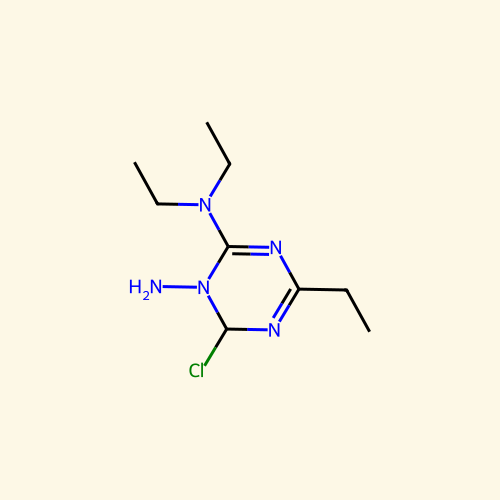 CCC1=NC(Cl)N(N)C(N(CC)CC)=N1